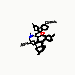 CNCCCC1(CCCN(C)C)c2cc(C)ccc2-c2c1c1c(c3cc(C)ccc23)OC(c2ccc(C)cc2)(c2ccc(OC)cc2)C=C1